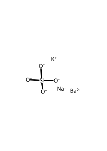 [Ba+2].[K+].[Na+].[O-][Si]([O-])([O-])[O-]